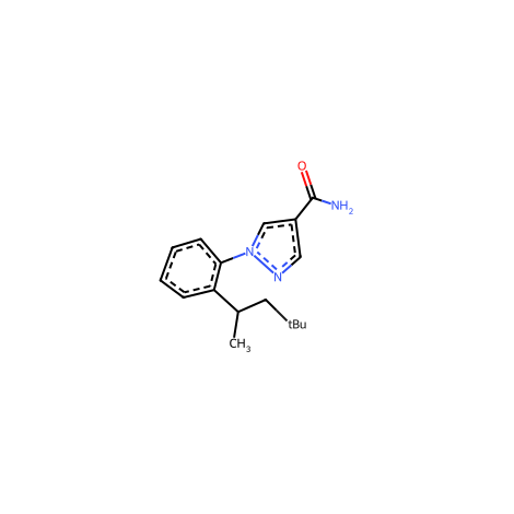 CC(CC(C)(C)C)c1ccccc1-n1cc(C(N)=O)cn1